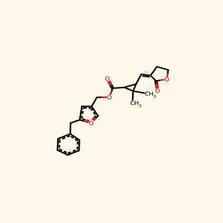 CC1(C)C(/C=C2/CCOC2=O)C1C(=O)OCc1coc(Cc2ccccc2)c1